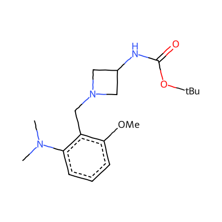 COc1cccc(N(C)C)c1CN1CC(NC(=O)OC(C)(C)C)C1